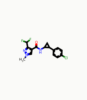 Cn1cc(C(=O)NC2CC2c2ccc(Cl)cc2)c(C(F)F)n1